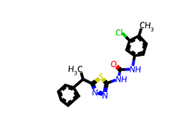 Cc1ccc(NC(=O)Nc2nnc(C(C)c3ccccc3)s2)cc1Cl